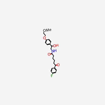 COCCOc1ccc([C@@H](O)CNC(=O)CCCCC(=O)c2ccc(F)cc2)cc1